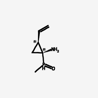 C=C[C@@H]1C[C@]1(N)[PH](C)=O